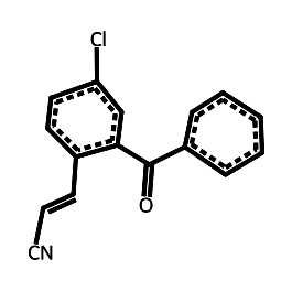 N#C/C=C/c1ccc(Cl)cc1C(=O)c1ccccc1